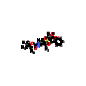 CC(C)(C)OC(=O)NCC(C)(C)S(=O)(=O)C(C)(Cc1ccccc1)C(=O)O